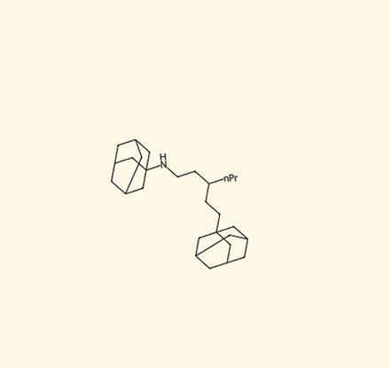 CCCC(CCNC12CC3CC(CC(C3)C1)C2)CCC12CC3CC(CC(C3)C1)C2